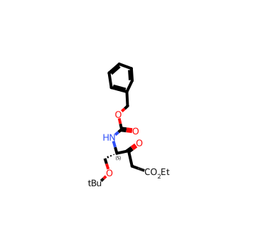 CCOC(=O)CC(=O)[C@H](COC(C)(C)C)NC(=O)OCc1ccccc1